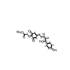 COC(=O)COc1c(Cl)cc(CCN[C@@H](C)[C@@H](O)c2ccc(O)cc2)cc1Cl